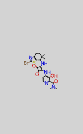 CN(C)C(=O)c1nccc(Nc2c(NC3c4sc(Br)nc4CCC3(C)C)c(=O)c2=O)c1O